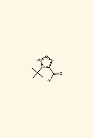 [2H]C(=O)c1nc[nH]c1C(C)(C)C